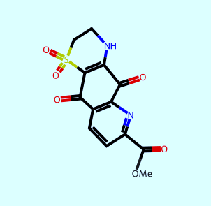 COC(=O)c1ccc2c(n1)C(=O)C1=C(C2=O)S(=O)(=O)CCN1